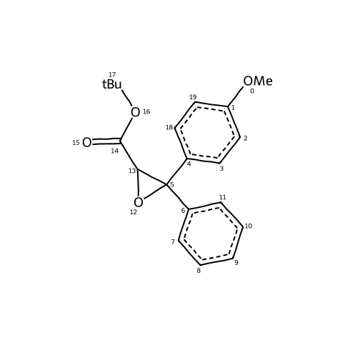 COc1ccc(C2(c3ccccc3)OC2C(=O)OC(C)(C)C)cc1